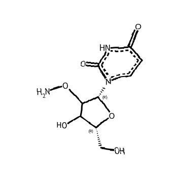 NOC1C(O)[C@@H](CO)O[C@H]1n1ccc(=O)[nH]c1=O